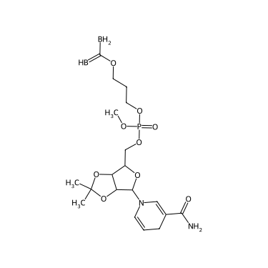 B=C(B)OCCCOP(=O)(OC)OCC1OC(N2C=CCC(C(N)=O)=C2)C2OC(C)(C)OC12